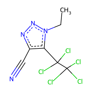 CCn1nnc(C#N)c1C(Cl)(Cl)C(Cl)(Cl)Cl